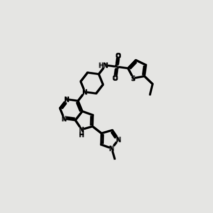 CCc1ccc(S(=O)(=O)NC2CCN(c3ncnc4[nH]c(-c5cnn(C)c5)cc34)CC2)s1